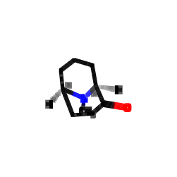 CN1[C@@H]2CCC[C@H]1C(=O)CC2